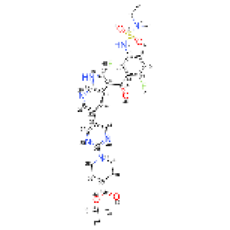 CCN(C)S(=O)(=O)Nc1ccc(F)c(C(=O)c2c[nH]c3ncc(-c4cnc(N5CCC(C(=O)OC(C)(C)C)CC5)nc4)cc23)c1F